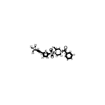 CC1CN(C(=O)c2ccccc2)CCN1S(=O)(=O)c1ccc(C#C[Si](C)(C)C)s1